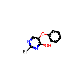 CCc1ncc(Oc2ccccc2)c(O)n1